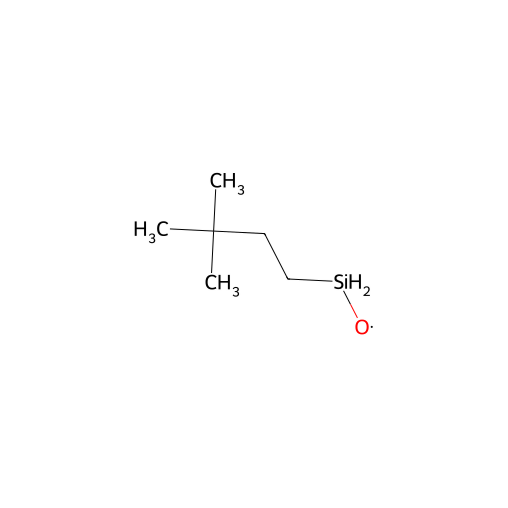 CC(C)(C)CC[SiH2][O]